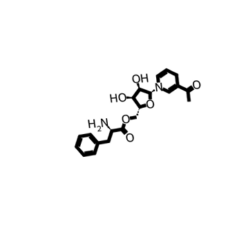 CC(=O)C1=CN([C@@H]2O[C@H](COC(=O)[C@@H](N)Cc3ccccc3)[C@@H](O)[C@H]2O)C=CC1